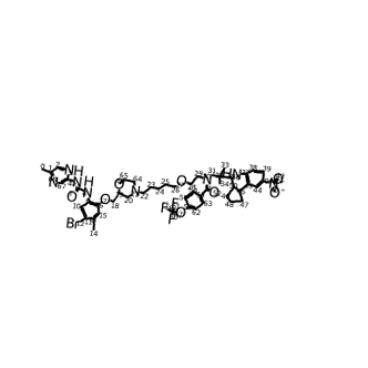 Cc1cnc(NC(=O)Nc2cc(Br)c(C)cc2OC[C@@H]2CN(CCCCCOCCN(CC(C)(C)C3Nc4ccc([N+](=O)[O-])cc4C4CCCC43)C(=O)c3ccc(OC(F)(F)F)cc3)CCO2)cn1